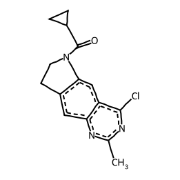 Cc1nc(Cl)c2cc3c(cc2n1)CCN3C(=O)C1CC1